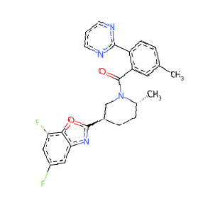 Cc1ccc(-c2ncccn2)c(C(=O)N2C[C@H](c3nc4cc(F)cc(F)c4o3)CC[C@H]2C)c1